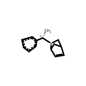 C[C@@H](c1ccccc1)N1CC2C=CC1C2